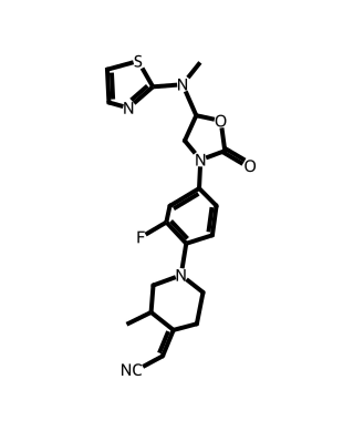 CC1CN(c2ccc(N3CC(N(C)c4nccs4)OC3=O)cc2F)CC/C1=C/C#N